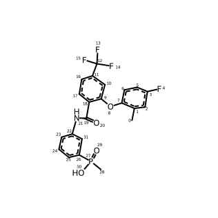 Cc1cc(F)ccc1Oc1cc(C(F)(F)F)ccc1C(=O)Nc1cccc(P(C)(=O)O)c1